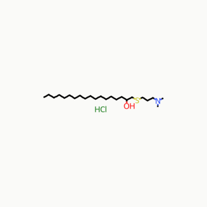 CCCCCCCCCCCCCCCCC(O)CSCCCN(C)C.Cl